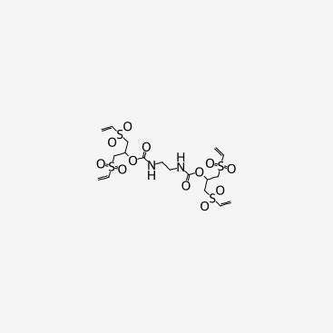 C=CS(=O)(=O)CC(CS(=O)(=O)C=C)OC(=O)NCCNC(=O)OC(CS(=O)(=O)C=C)CS(=O)(=O)C=C